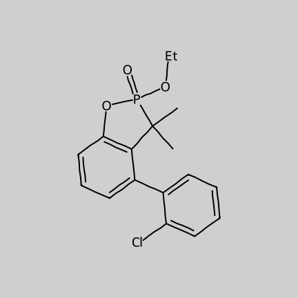 CCOP1(=O)Oc2cccc(-c3ccccc3Cl)c2C1(C)C